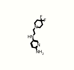 Nc1ccc(NCCN2CCC(F)(F)CC2)cn1